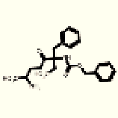 NC(CCC(=O)[C@](CC(=O)O)(Cc1ccccc1)NC(=O)OCc1ccccc1)C(=O)O